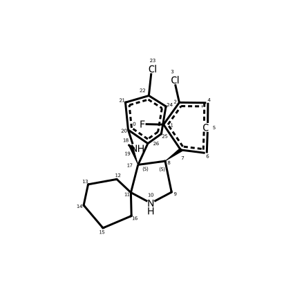 Fc1c(Cl)cccc1[C@H]1CNC2(CCCCC2)[C@@]12CNc1cc(Cl)ccc12